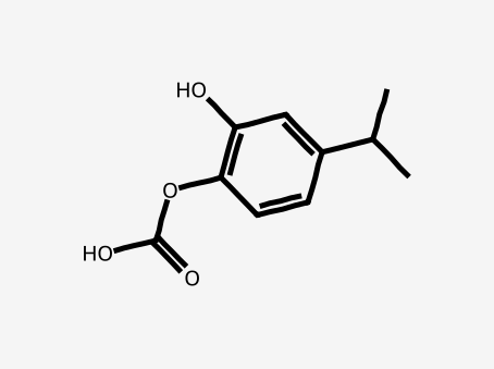 CC(C)c1ccc(OC(=O)O)c(O)c1